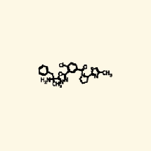 Cc1csc(C2CCCN2C(=O)c2ccc(Cl)c(-c3nnc(C(C)(N)Cc4ccccc4)o3)c2)n1